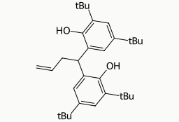 C=CCC(c1cc(C(C)(C)C)cc(C(C)(C)C)c1O)c1cc(C(C)(C)C)cc(C(C)(C)C)c1O